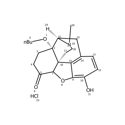 CCCCO[C@@]12CCC(=O)C3Oc4c(O)ccc5c4[C@@]31CCN(C)[C@@H]2C5.Cl